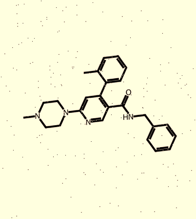 Cc1ccccc1-c1cc(N2CCN(C)CC2)ncc1C(=O)NCc1ccccc1